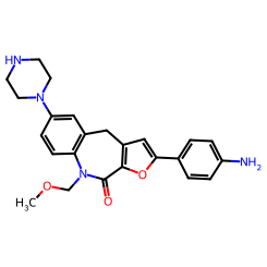 COCN1C(=O)c2oc(-c3ccc(N)cc3)cc2Cc2cc(N3CCNCC3)ccc21